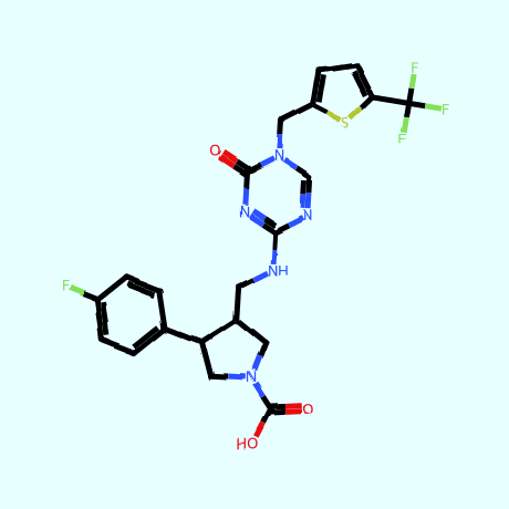 O=C(O)N1CC(CNc2ncn(Cc3ccc(C(F)(F)F)s3)c(=O)n2)C(c2ccc(F)cc2)C1